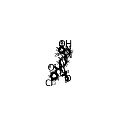 COC1CN(C(C(C=O)c2ccc(Cl)cc2)N2CCN(c3ncnc4c3[C@H](C)C[C@H]4O)CC2)C1